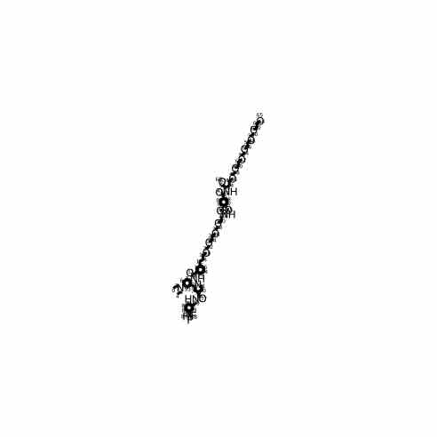 CCN(CC)c1ccc(NC(=O)c2cccc(CCCOCCOCCOCCOCCNS(=O)(=O)c3ccc(C(=O)NC(CCOCCOCCOCCOCCOCCOCCOC)COC)cc3)c2)c(-c2cc(C(=O)NCc3cccc(C(F)(F)F)c3)ccn2)c1